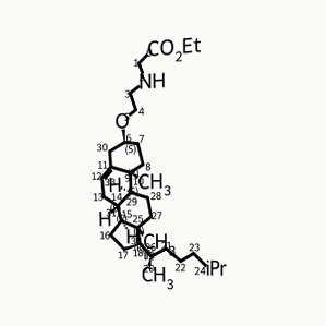 CCOC(=O)CNCCO[C@H]1CC[C@@]2(C)C(=CC[C@H]3[C@@H]4CC[C@H]([C@H](C)CCCC(C)C)[C@@]4(C)CC[C@@H]32)C1